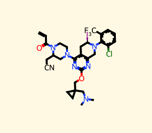 C=CC(=O)N1CCN(c2nc(OCC3(CN(C)C)CC3)nc3c2C[C@@H](I)N(c2c(Cl)cccc2C(F)(F)F)C3)CC1CC#N